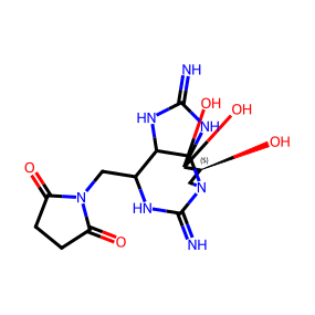 N=C1NC2C(CN3C(=O)CCC3=O)NC(=N)N3C[C@H](O)C(O)(O)C23N1